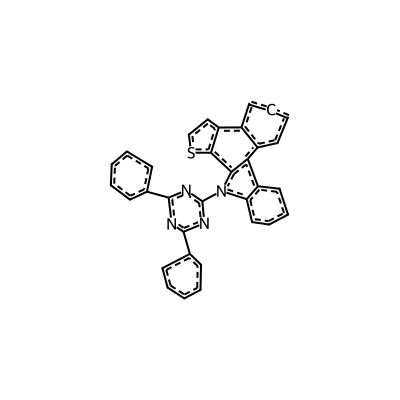 c1ccc(-c2nc(-c3ccccc3)nc(-n3c4ccccc4c4c5ccccc5c5ccsc5c43)n2)cc1